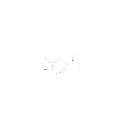 N=C(N)c1ccc2cc[nH]c2n1